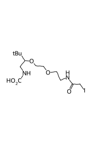 CC(C)(C)C(CNC(=O)O)OCCOCCNC(=O)CI